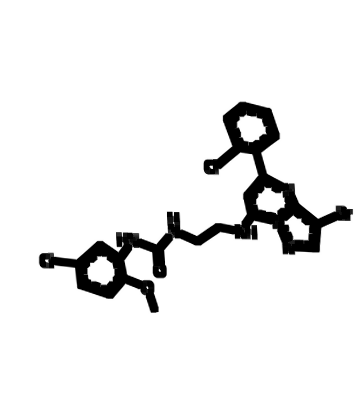 COc1ccc(Cl)cc1NC(=O)NCCNc1cc(-c2ccccc2Cl)nc2c(Br)cnn12